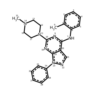 Cc1ccccc1Nc1nc(N2CCN(C)CC2)nc2c1cnn2-c1ccccc1